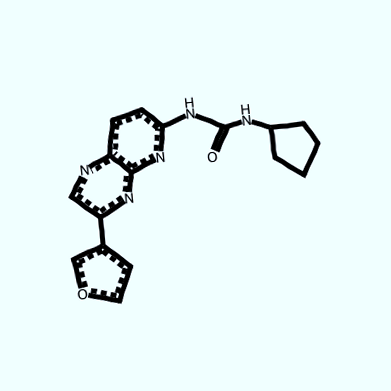 O=C(Nc1ccc2ncc(-c3ccoc3)nc2n1)NC1CCCC1